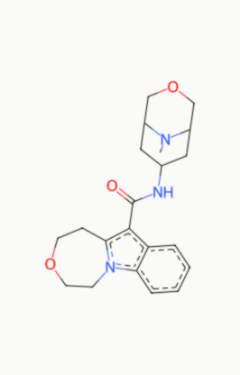 CN1C2COCC1CC(NC(=O)c1c3n(c4ccccc14)CCOCC3)C2